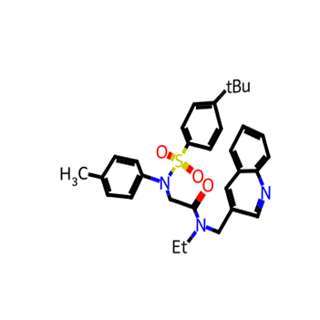 CCN(Cc1cnc2ccccc2c1)C(=O)CN(c1ccc(C)cc1)S(=O)(=O)c1ccc(C(C)(C)C)cc1